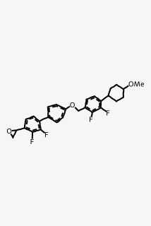 COC1CCC(c2ccc(COc3ccc(-c4ccc(C5CO5)c(F)c4F)cc3)c(F)c2F)CC1